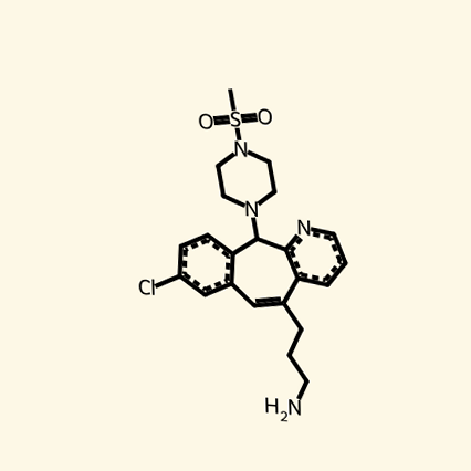 CS(=O)(=O)N1CCN(C2c3ccc(Cl)cc3C=C(CCCN)c3cccnc32)CC1